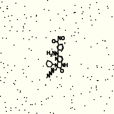 [N-]=[N+]=NC[C@@H]1C(=O)Nc2ccc(N(N)c3cccc(C(=O)N=O)c3)nc2N1C1CCCCC1